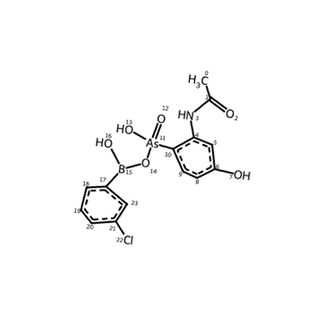 CC(=O)Nc1cc(O)ccc1[As](=O)(O)OB(O)c1cccc(Cl)c1